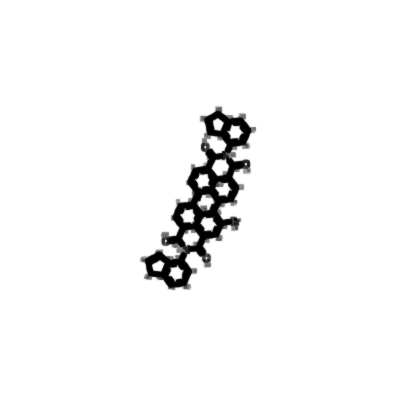 O=C1c2ccc3c4ccc5c6c(cc(Br)c(c7ccc(c2c37)C(=O)N1c1cccc2c1C=CC2)c64)C(=O)N(c1cccc2c1C=CC2)C5=O